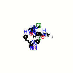 CNC(=O)C(C)(C)c1ccc(Nc2nc(NCC(F)(F)F)cc3cc[nH]c(=O)c23)cc1.O=c1[nH]ccc2c(CCCc3ccccc3)cnc(Nc3ccc(F)cc3)c12